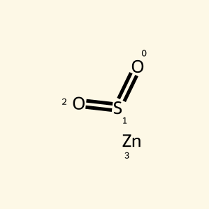 O=S=O.[Zn]